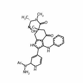 CC(=O)N(N)C1C=C(c2[nH]c3c(c2Nc2ccccc2)C(=O)CC(C)(C(=O)N(C)[C@@H](C)CO)C3)C=CN1